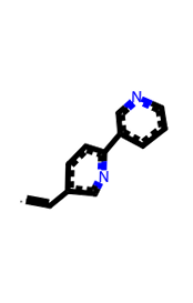 [CH]=Cc1ccc(-c2cccnc2)nc1